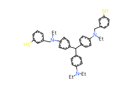 CCN(CC)c1ccc(C(c2ccc(N(CC)Cc3cccc(S)c3)cc2)c2ccc(N(CC)Cc3cccc(S)c3)cc2)cc1